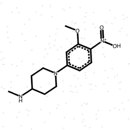 CNC1CCN(c2ccc([N+](=O)O)c(OC)c2)CC1